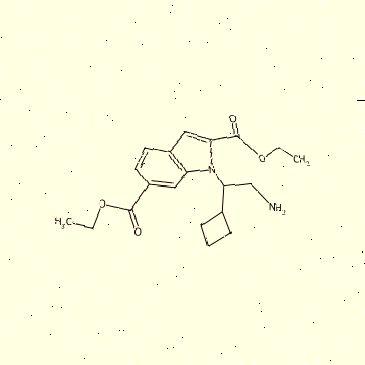 CCOC(=O)c1ccc2cc(C(=O)OCC)n(C(CN)C3CCC3)c2c1